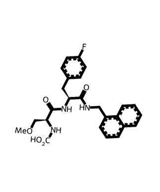 COC[C@H](NC(=O)O)C(=O)N[C@@H](Cc1ccc(F)cc1)C(=O)NCc1cccc2ccccc12